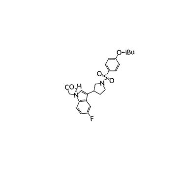 CC[C@H](C)Oc1ccc(S(=O)(=O)N2CCC(c3cn(CC(=O)O)c4ccc(F)cc34)C2)cc1